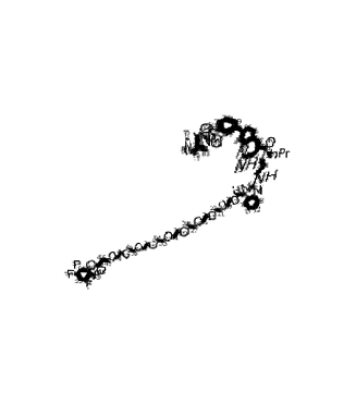 CCCN(CCCN/C(=N/c1ccccc1)NCCOCCOCCOCCOCCOCCOCCOCCOCCOCCOCCC(=O)Oc1c(F)c(F)cc(F)c1F)C(=O)C1=Cc2ccc(-c3cccc(S(=O)(=O)N4CC(CN(C)C)C4)c3)cc2N=C(N)C1